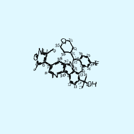 Cc1noc(C)c1-c1cnc2c3ccc(C(C)(C)O)c(F)c3n(C(c3ccc(F)cc3)C3CCOCC3)c2c1